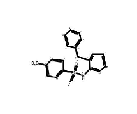 O=C(O)c1ccc(S(=O)(=O)Nc2ccccc2Cc2ccccc2)cc1